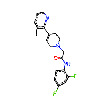 Cc1cccnc1C1=CCN(CC(=O)Nc2ccc(F)cc2F)CC1